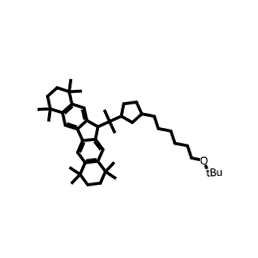 CC(C)(C)OCCCCCCC1CCC(C(C)(C)C2c3cc4c(cc3-c3cc5c(cc32)C(C)(C)CCC5(C)C)C(C)(C)CCC4(C)C)C1